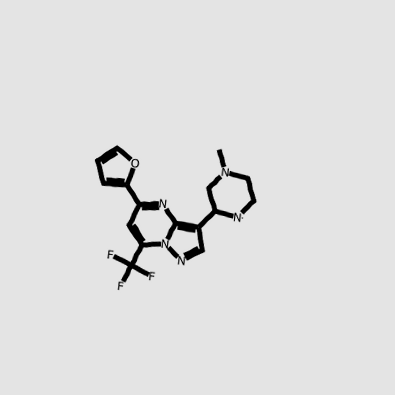 CN1CC[N]C(c2cnn3c(C(F)(F)F)cc(-c4ccco4)nc23)C1